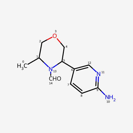 CC1COCC(c2ccc(N)nc2)N1C=O